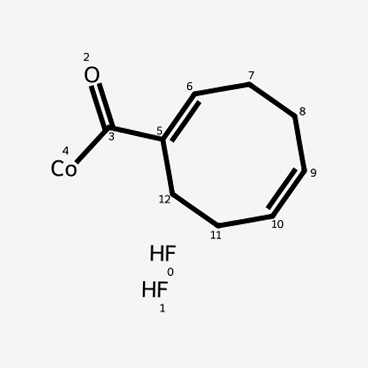 F.F.O=[C]([Co])C1=CCCC=CCC1